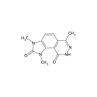 Cc1n[nH]c(=O)c2c1ccc1c2n(C)c(=O)n1C